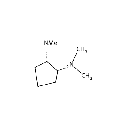 CN[C@H]1CCC[C@H]1N(C)C